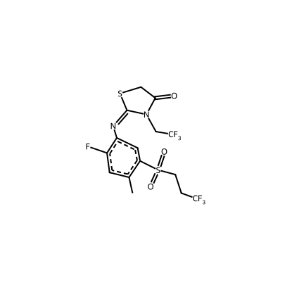 Cc1cc(F)c(N=C2SCC(=O)N2CC(F)(F)F)cc1S(=O)(=O)CCC(F)(F)F